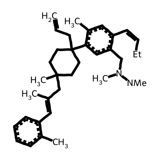 C=CCC1(c2cc(CN(C)NC)c(/C=C\CC)cc2C)CCC(C)(C/C(C)=C/c2ccccc2C)CC1